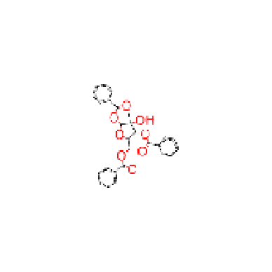 C[C@]1(O)[C@H](OC(=O)c2ccccc2)OC(COC(=O)c2ccccc2)[C@H]1OC(=O)c1ccccc1